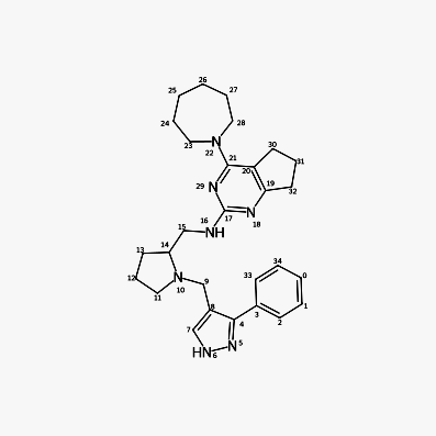 c1ccc(-c2n[nH]cc2CN2CCCC2CNc2nc3c(c(N4CCCCCC4)n2)CCC3)cc1